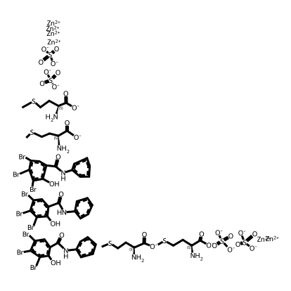 CSCC[C@H](N)C(=O)[O-].CSCC[C@H](N)C(=O)[O-].CSCC[C@H](N)C(=O)[O-].CSCC[C@H](N)C(=O)[O-].O=C(Nc1ccccc1)c1cc(Br)c(Br)c(Br)c1O.O=C(Nc1ccccc1)c1cc(Br)c(Br)c(Br)c1O.O=C(Nc1ccccc1)c1cc(Br)c(Br)c(Br)c1O.O=S(=O)([O-])[O-].O=S(=O)([O-])[O-].O=S(=O)([O-])[O-].O=S(=O)([O-])[O-].[Zn+2].[Zn+2].[Zn+2].[Zn+2].[Zn+2].[Zn+2]